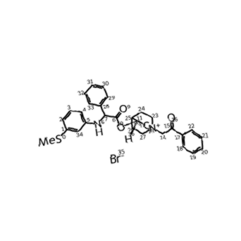 CSc1cccc(NC(C(=O)O[C@H]2C[N+]3(CC(=O)c4ccccc4)CCC2CC3)c2ccccc2)c1.[Br-]